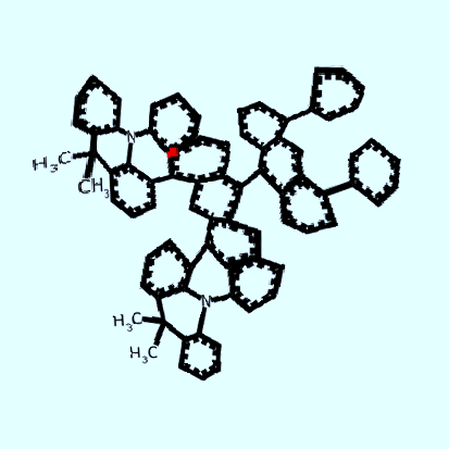 CC1(C)c2ccccc2N(c2ccccc2)c2c(-c3cccc4c(-c5c6cccc(-c7ccccc7)c6cc6c(-c7ccccc7)cccc56)c5cccc(-c6cccc7c6N(c6ccccc6)c6ccccc6C7(C)C)c5cc34)cccc21